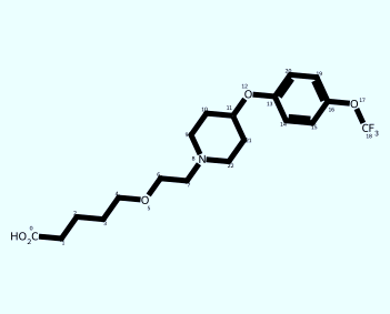 O=C(O)CCCCOCCN1CCC(Oc2ccc(OC(F)(F)F)cc2)CC1